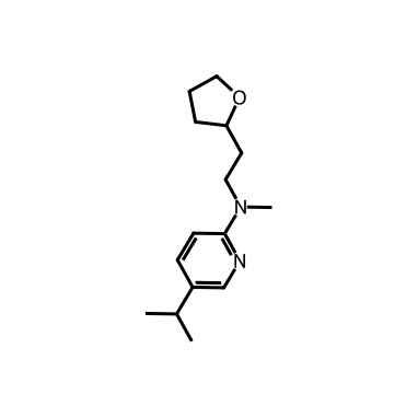 CC(C)c1ccc(N(C)CCC2CCCO2)nc1